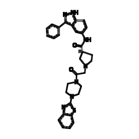 O=C(Nc1ccc2[nH]nc(-c3ccccc3)c2c1)[C@@H]1CCN(CC(=O)N2CCN(c3nc4ccccc4s3)CC2)C1